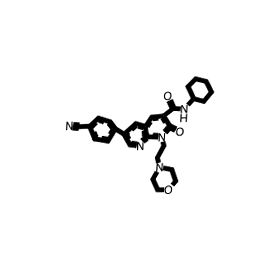 N#Cc1ccc(-c2cnc3c(c2)cc(C(=O)NC2CCCCC2)c(=O)n3CCN2CCOCC2)cc1